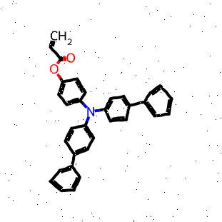 C=CC(=O)Oc1ccc(N(c2ccc(-c3ccccc3)cc2)c2ccc(-c3ccccc3)cc2)cc1